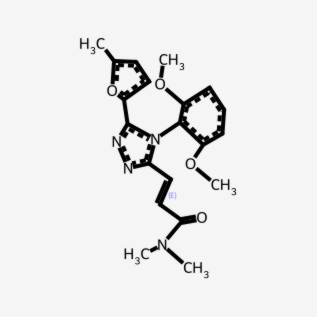 COc1cccc(OC)c1-n1c(/C=C/C(=O)N(C)C)nnc1-c1ccc(C)o1